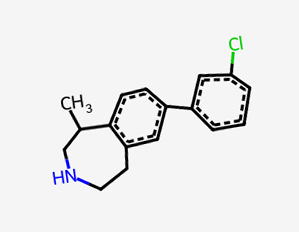 CC1CNCCc2cc(-c3cccc(Cl)c3)ccc21